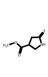 COC(=O)C1CNC(=S)C1